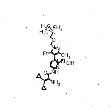 CCc1c(-c2ccc(NC(=O)C(N)=C(C3CC3)C3CC3)nc2F)c(C)nn1COCC[Si](C)(C)C.Cl.Cl